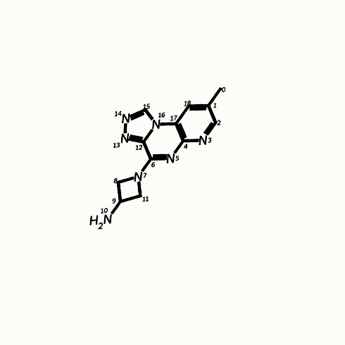 Cc1cnc2nc(N3CC(N)C3)c3nncn3c2c1